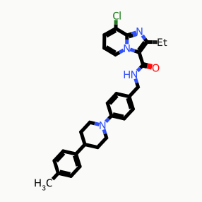 CCc1nc2c(Cl)cccn2c1C(=O)NCc1ccc(N2CCC(c3ccc(C)cc3)CC2)cc1